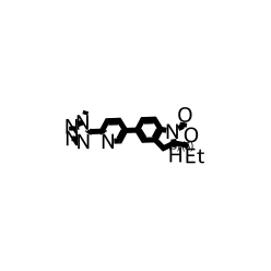 CC[C@@H]1OC(=O)N2c3ccc(-c4ccc(-c5nnnn5C)nc4)cc3C[C@@H]12